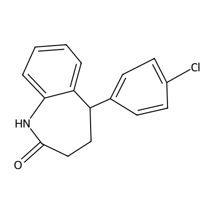 O=C1CCC(c2ccc(Cl)cc2)c2ccccc2N1